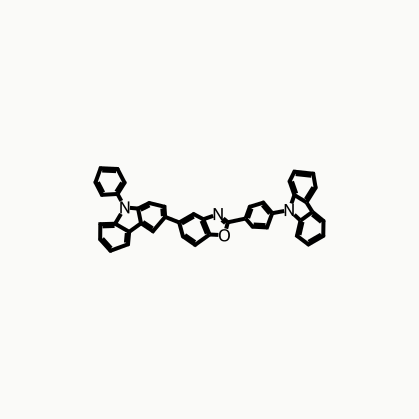 c1ccc(-n2c3ccccc3c3cc(-c4ccc5oc(-c6ccc(-n7c8ccccc8c8ccccc87)cc6)nc5c4)ccc32)cc1